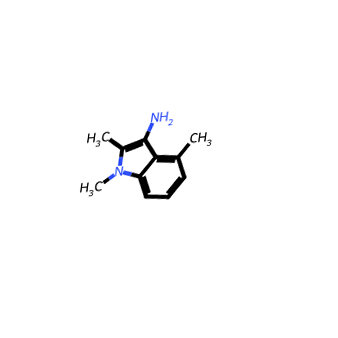 Cc1cccc2c1c(N)c(C)n2C